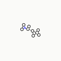 c1ccc2c(-n3c4ccccc4c4ccccc43)ccc(-c3ccc4c(c3)c3ccccc3c3c5ccccc5c5ccccc5c43)c2c1